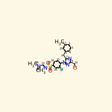 Cc1cccc(Cc2nc(C=O)nn2-c2ccc(S(=O)(=O)N=CN(C)C)cc2F)c1